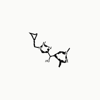 Cc1nn(C)cc1C(O)c1cn(CC2CC2)nn1